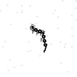 CCCCCc1ccc(-c2ccc(-c3ccc(C(F)(F)Oc4ccc(-c5ccc(OC(F)(F)F)c(F)c5)c(F)c4)cc3)c(F)c2)cc1